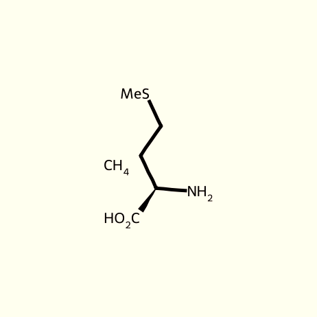 C.CSCC[C@@H](N)C(=O)O